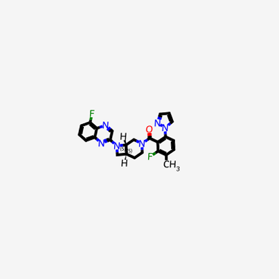 Cc1ccc(-n2cccn2)c(C(=O)N2CC[C@H]3CN(c4cnc5c(F)cccc5n4)[C@@H]3C2)c1F